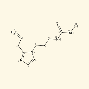 C=CCc1nccn1CCCNC(=O)NS